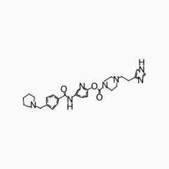 O=C(Nc1ccc(OC(=O)N2CCN(CCc3c[nH]cn3)CC2)nc1)c1ccc(CN2CCCCC2)cc1